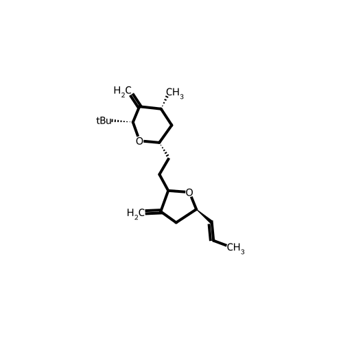 C=C1C[C@H](C=CC)OC1CC[C@H]1C[C@@H](C)C(=C)[C@@H](C(C)(C)C)O1